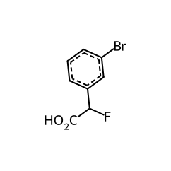 O=C(O)C(F)c1cccc(Br)c1